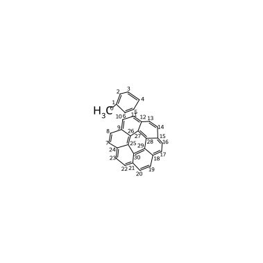 Cc1ccccc1.c1cc2ccc3ccc4ccc5ccc6ccc1c1c2c3c4c5c61